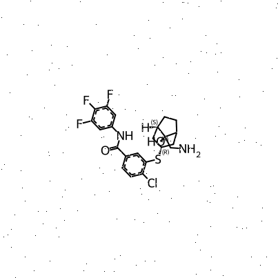 NC[C@@]1(O)C2CC[C@H]1C[C@H](Sc1cc(C(=O)Nc3cc(F)c(F)c(F)c3)ccc1Cl)C2